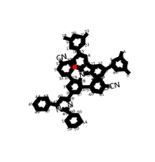 Cc1cc(C)cc(-c2ccc3c(c2)c2cc(-c4cc(C)cc(C)c4)ccc2n3-c2c(-c3ccc(C#N)cc3)cc(-c3cc(-c4ccccc4)nc(-c4ccccc4)n3)cc2-c2ccc(C#N)cc2)c1